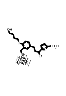 CCC(CCc1ccc(OCCCCO)c(CN)c1)c1ccc(C(=O)O)s1.CN.CN.CN